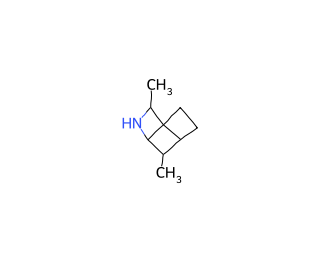 CC1C2CCC23C(C)NC13